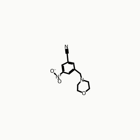 N#Cc1cc(CN2CCOCC2)cc([N+](=O)[O-])c1